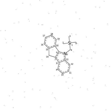 C[Si](C)(C)Cn1c2c(c3ccccc31)Cc1ccccc1-2